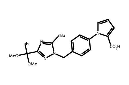 CCCCc1nc(C(CCC)(OC)OC)nn1Cc1ccc(-n2cccc2C(=O)O)cc1